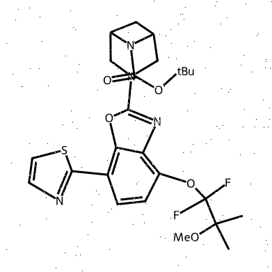 COC(C)(C)C(F)(F)Oc1ccc(-c2nccs2)c2oc(N3CC4CC(C3)N4C(=O)OC(C)(C)C)nc12